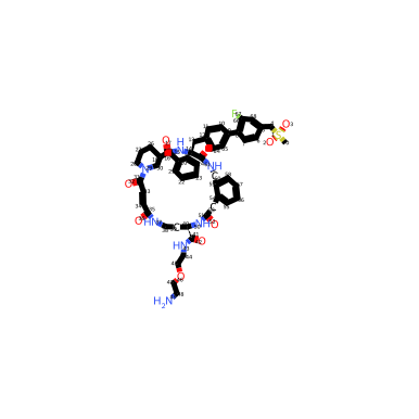 CS(=O)(=O)Cc1ccc(-c2ccc(C[C@@H]3NC(=O)[C@]4(Cc5ccccc5)CCCN(C4)C(=O)/C=C/C(=O)NCC[C@@H](C(=O)NCCOCCN)NC(=O)Cc4ccccc4CNC3=O)cc2)c(F)c1